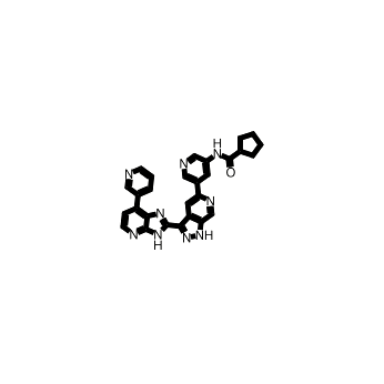 O=C(Nc1cncc(-c2cc3c(-c4nc5c(-c6cccnc6)ccnc5[nH]4)n[nH]c3cn2)c1)C1CCCC1